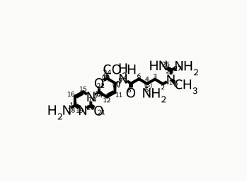 CN(CC[C@H](N)CC(=O)N[C@@H]1C=C[C@@H](n2ccc(N)nc2=O)O[C@H]1C(=O)O)C(=N)N